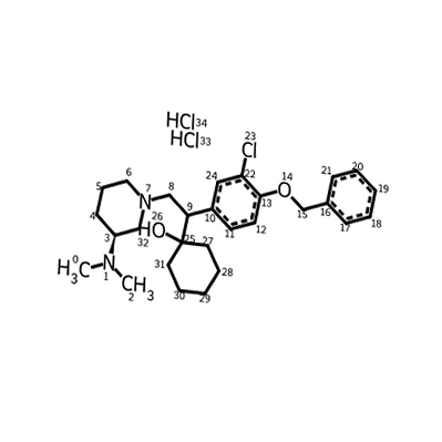 CN(C)[C@H]1CCCN(CC(c2ccc(OCc3ccccc3)c(Cl)c2)C2(O)CCCCC2)C1.Cl.Cl